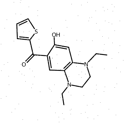 CCN1CCN(CC)c2cc(C(=O)c3cccs3)c(O)cc21